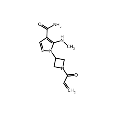 C=CC(=O)N1CC(n2ncc(C(N)=O)c2NC)C1